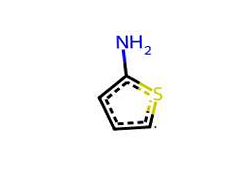 Nc1cc[c]s1